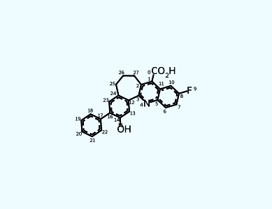 O=C(O)c1c2c(nc3ccc(F)cc13)-c1cc(O)c(-c3ccccc3)cc1CCC2